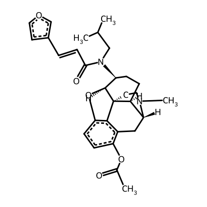 CC(=O)Oc1ccc2c3c1C[C@@H]1[C@@H]4CC[C@H](N(CC(C)C)C(=O)/C=C/c5ccoc5)[C@H](O2)[C@]34CCN1C